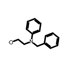 [O]CCN(Cc1ccccc1)c1ccccc1